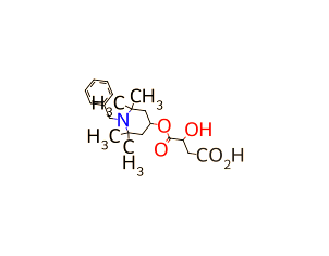 CC1(C)CC(OC(=O)C(O)CC(=O)O)CC(C)(C)N1Cc1ccccc1